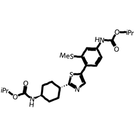 CSc1cc(NC(=O)OC(C)C)ccc1-c1cnc([C@H]2CC[C@H](NC(=O)OC(C)C)CC2)s1